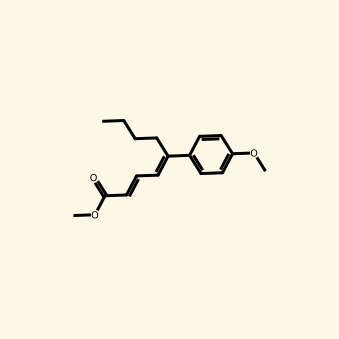 CCCCC(=CC=CC(=O)OC)c1ccc(OC)cc1